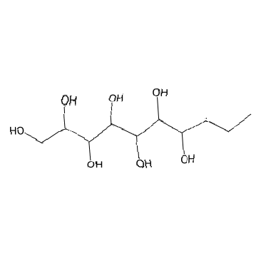 CC[CH]C(O)C(O)C(O)C(O)C(O)C(O)CO